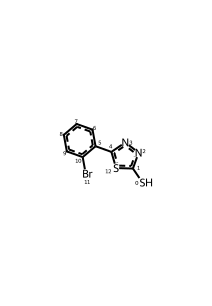 Sc1nnc(-c2ccccc2Br)s1